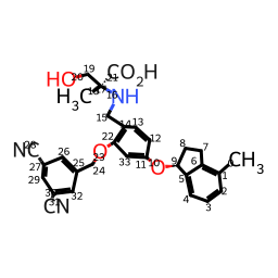 Cc1cccc2c1CC[C@@H]2Oc1ccc(CN[C@@](C)(CO)C(=O)O)c(OCc2cc(C#N)cc(C#N)c2)c1